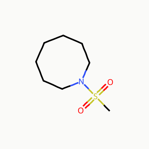 CS(=O)(=O)N1CCCCCCC1